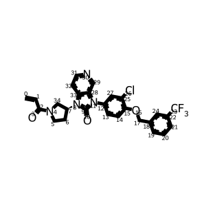 C=CC(=O)N1CC[C@@H](n2c(=O)n(-c3ccc(OCc4cccc(C(F)(F)F)c4)c(Cl)c3)c3cnccc32)C1